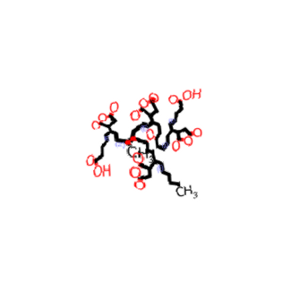 CCCC/C=C/C(CCC(C/C=C\CC(/C=C/CCC(=O)O)C1CC(=O)OC1=O)OC(C/C=C\CC(/C=C/CCC(=O)O)C1CC(=O)OC1=O)CCC(/C=C/CCCC)C1CC(=O)OC1=O)C1CC(=O)OC1=O